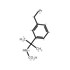 CC(C)Cc1cccc(C(C)(C)NC(=O)O)c1